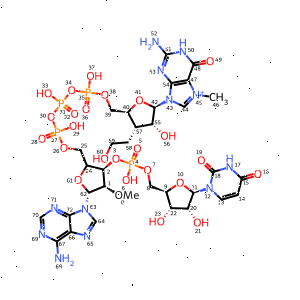 CO[C@@H]1[C@H](OP(=O)(O)OC[C@H]2O[C@@H](n3ccc(=O)[nH]c3=O)[C@H](O)[C@@H]2O)C(COP(=O)(O)OP(=O)(O)OP(=O)(O)OC[C@H]2O[C@@H](n3c[n+](C)c4c(=O)[nH]c(N)nc43)[C@H](O)[C@@H]2CCO)O[C@H]1n1cnc2c(N)ncnc21